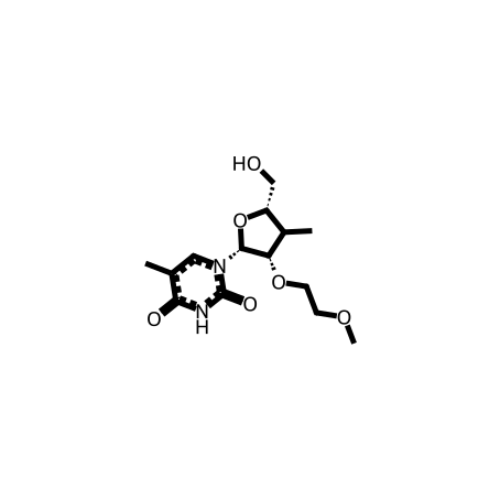 COCCO[C@H]1C(C)[C@@H](CO)O[C@H]1n1cc(C)c(=O)[nH]c1=O